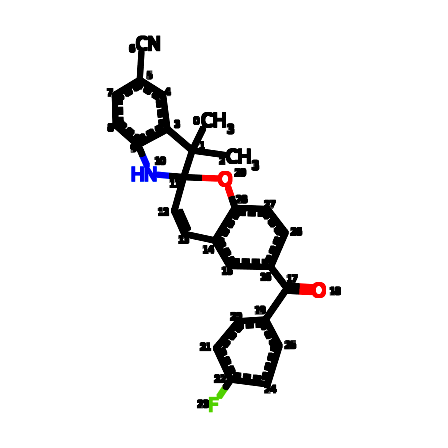 CC1(C)c2cc(C#N)ccc2NC12C=Cc1cc(C(=O)c3ccc(F)cc3)ccc1O2